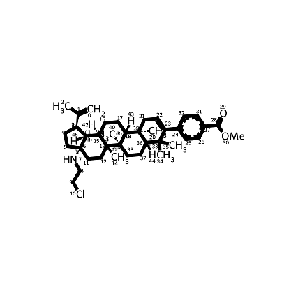 C=C(C)[C@@H]1CC[C@]2(NCCCl)CC[C@]3(C)[C@H](CC[C@@H]4[C@@]5(C)CC=C(c6ccc(C(=O)OC)cc6)C(C)(C)[C@@H]5CC[C@]43C)[C@@H]12